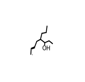 [CH2]C=CCC(CCC)C(O)CC